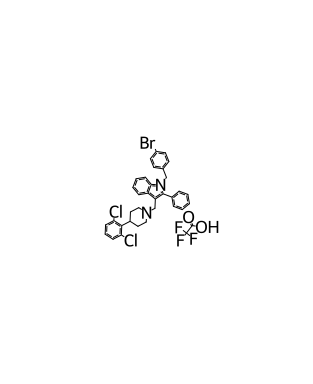 Clc1cccc(Cl)c1C1CCN(Cc2c(-c3ccccc3)n(Cc3ccc(Br)cc3)c3ccccc23)CC1.O=C(O)C(F)(F)F